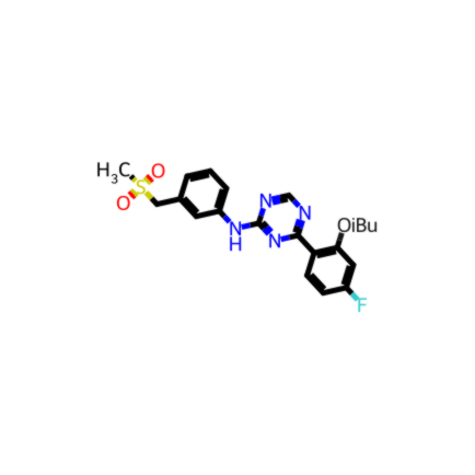 CC(C)COc1cc(F)ccc1-c1ncnc(Nc2cccc(CS(C)(=O)=O)c2)n1